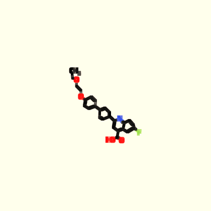 CCOCCOc1ccc(-c2ccc(-c3cc(C(=O)O)c4cc(F)ccc4n3)cc2)cc1